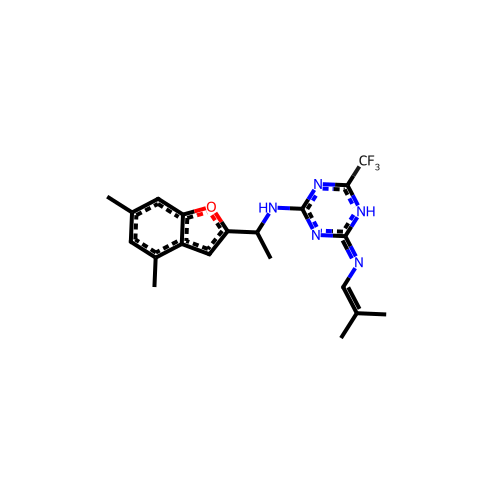 CC(C)=CN=c1nc(NC(C)c2cc3c(C)cc(C)cc3o2)nc(C(F)(F)F)[nH]1